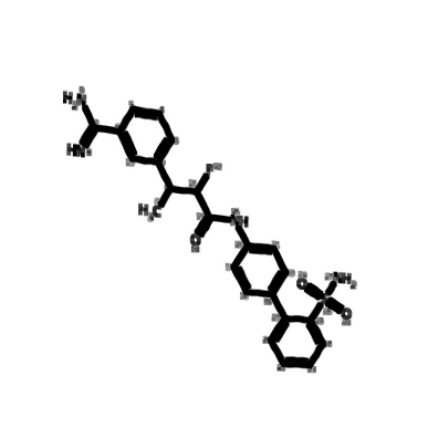 CC(c1cccc(C(=N)N)c1)C(F)C(=O)Nc1ccc(-c2ccccc2S(N)(=O)=O)cc1